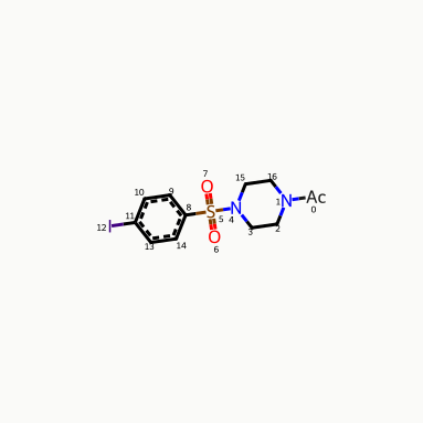 CC(=O)N1CCN(S(=O)(=O)c2ccc(I)cc2)CC1